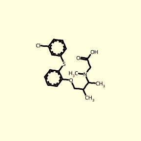 CC(COc1ccccc1Sc1cccc(Cl)c1)C(C)N(C)CC(=O)O